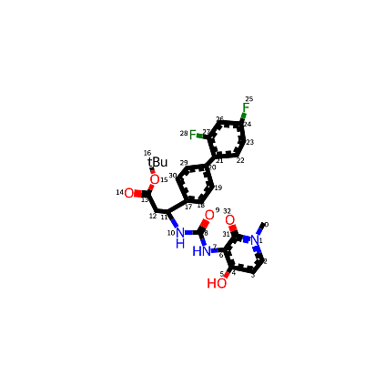 Cn1ccc(O)c(NC(=O)NC(CC(=O)OC(C)(C)C)c2ccc(-c3ccc(F)cc3F)cc2)c1=O